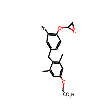 Cc1cc(OCC(=O)O)cc(C)c1Cc1ccc(OC2CO2)c(C(C)C)c1